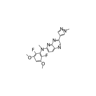 COc1cc(OC)c(F)c(N(C)c2ccc3ncc(-c4cnn(C)c4)nc3n2)c1F